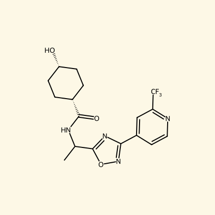 CC(NC(=O)[C@H]1CC[C@@H](O)CC1)c1nc(-c2ccnc(C(F)(F)F)c2)no1